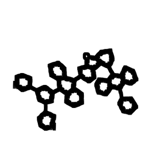 c1ccc(-c2c3ccccc3c(-c3cccc4oc5cc(-c6c7ccccc7c(-c7cc(-c8cccnc8)cc(-c8cccnc8)c7)c7ccccc67)ccc5c34)c3ccccc23)cc1